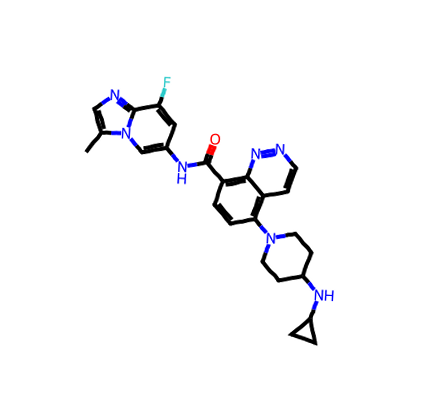 Cc1cnc2c(F)cc(NC(=O)c3ccc(N4CCC(NC5CC5)CC4)c4ccnnc34)cn12